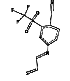 N#Cc1ccc(N=CC=S)cc1S(=O)(=O)C(F)(F)F